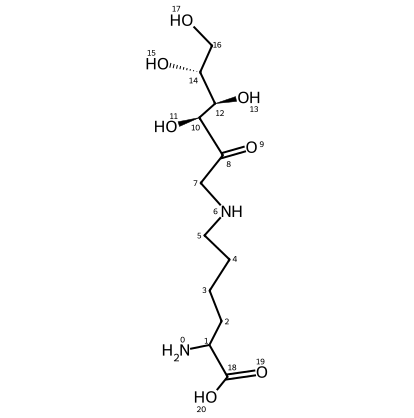 NC(CCCCNCC(=O)[C@@H](O)[C@H](O)[C@H](O)CO)C(=O)O